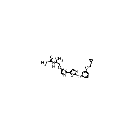 CC(=O)NC(C)COc1cnc(-c2cnc(Oc3cccc(OCC4CC4)c3)s2)o1